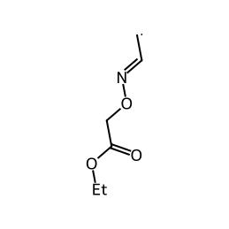 [CH2]C=NOCC(=O)OCC